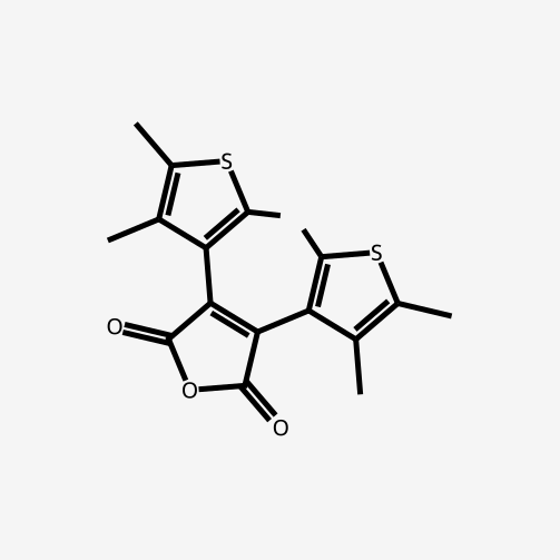 Cc1sc(C)c(C2=C(c3c(C)sc(C)c3C)C(=O)OC2=O)c1C